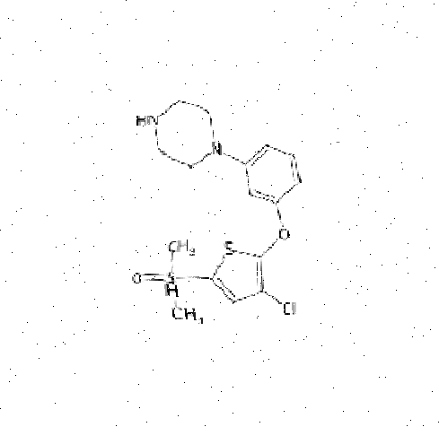 C[SH](C)(=O)c1cc(Cl)c(Oc2cccc(N3CCNCC3)c2)s1